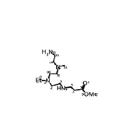 CCN(CCNCCC(=O)OC)CCN(C)CCN